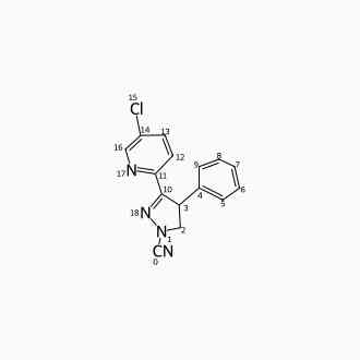 N#CN1CC(c2ccccc2)C(c2ccc(Cl)cn2)=N1